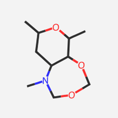 CC1CC2C(OCOCN2C)C(C)O1